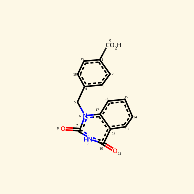 O=C(O)c1ccc(Cn2c(=O)[nH]c(=O)c3ccccc32)cc1